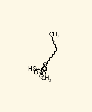 CCCCCCCC/C=C\CCCCCCCCOc1cccc(N(CC(=O)O)CC(=O)OC)c1